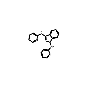 c1ccc(NC2=NC(Nc3ccccn3)c3ccccc32)nc1